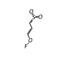 O=S(=O)=CC=COF